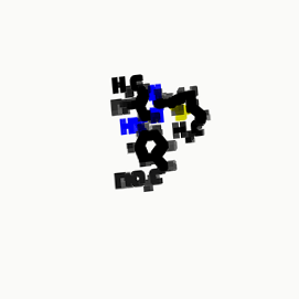 C=Cc1ccc(-c2nc(C)c(CC)c(Nc3ccc(CC(=O)OCC)cc3)n2)s1